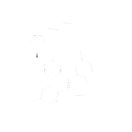 Cc1ccc(C2=C(c3ccc(O[C@H]4CCN(CCCF)C4)cc3)c3cc(C)c(O)cc3OCC2)c(F)c1